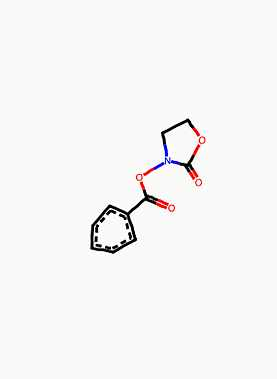 O=C(ON1CCOC1=O)c1ccccc1